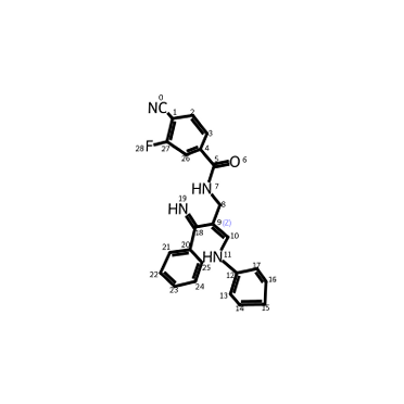 N#Cc1ccc(C(=O)NC/C(=C/Nc2ccccc2)C(=N)c2ccccc2)cc1F